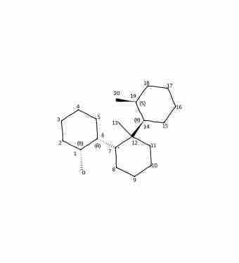 C[C@@H]1CCCC[C@@H]1[C]1CCCCC1(C)[C@@H]1CCCC[C@@H]1C